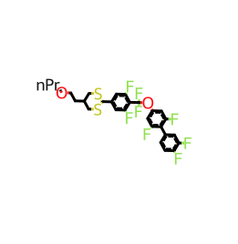 CCCOCCC1CSC(c2cc(F)c(C(F)(F)Oc3cc(F)c(-c4ccc(F)c(F)c4)c(F)c3)c(F)c2)SC1